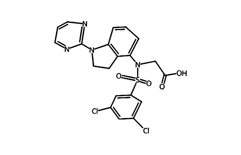 O=C(O)CN(c1cccc2c1CCN2c1ncccn1)S(=O)(=O)c1cc(Cl)cc(Cl)c1